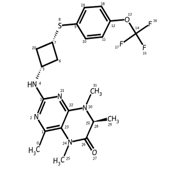 Cc1nc(N[C@H]2C[C@@H](Sc3ccc(OC(F)(F)F)cc3)C2)nc2c1N(C)C(=O)[C@H](C)N2C